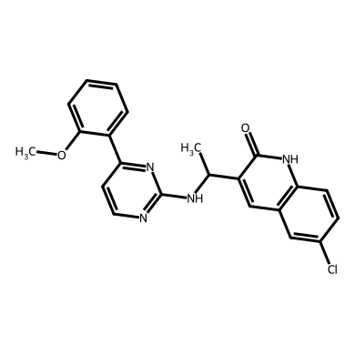 COc1ccccc1-c1ccnc(NC(C)c2cc3cc(Cl)ccc3[nH]c2=O)n1